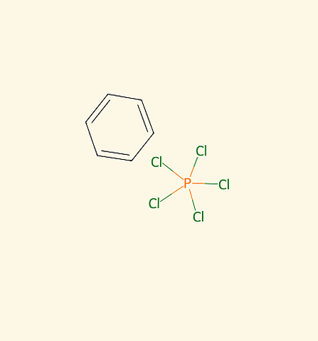 ClP(Cl)(Cl)(Cl)Cl.c1ccccc1